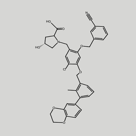 Cc1c(COc2cc(OCc3cccc(C#N)c3)c(CN3C[C@H](O)CC3C(=O)O)cc2Cl)cccc1-c1ccc2c(c1)OCCO2